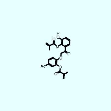 C=C(C)C(=O)Oc1cc(C(C)=O)ccc1OCC(=O)c1cccc(O)c1OC(=O)C(=C)C